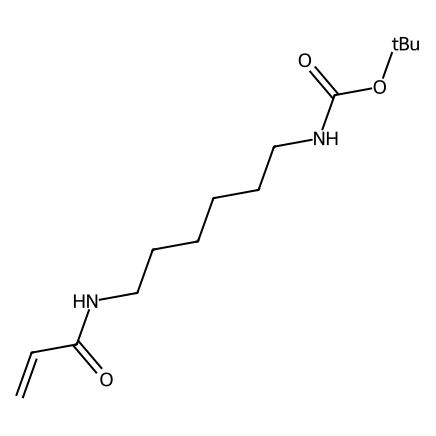 C=CC(=O)NCCCCCCNC(=O)OC(C)(C)C